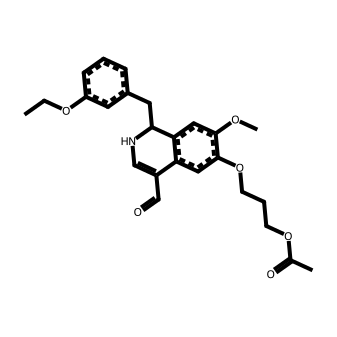 CCOc1cccc(CC2NC=C(C=O)c3cc(OCCCOC(C)=O)c(OC)cc32)c1